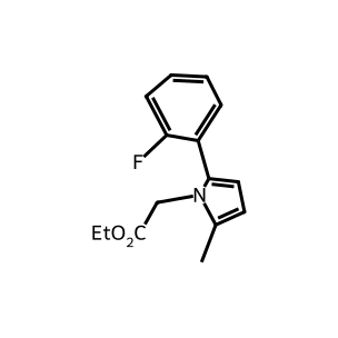 CCOC(=O)Cn1c(C)ccc1-c1ccccc1F